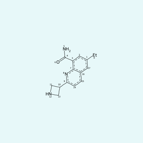 CCc1cc(C(N)=O)c2nc(C3CNC3)ccc2c1